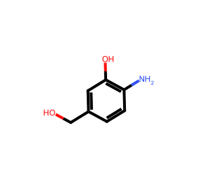 Nc1ccc(CO)cc1O